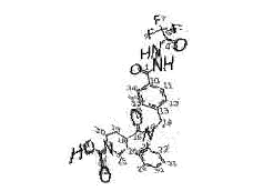 O=C(NNC(=O)C(F)(F)F)c1ccc(CN(C(=O)C2CCN(C(=O)O)CC2)c2ccccc2)cc1